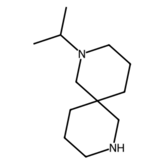 CC(C)N1CCCC2(CCCNC2)C1